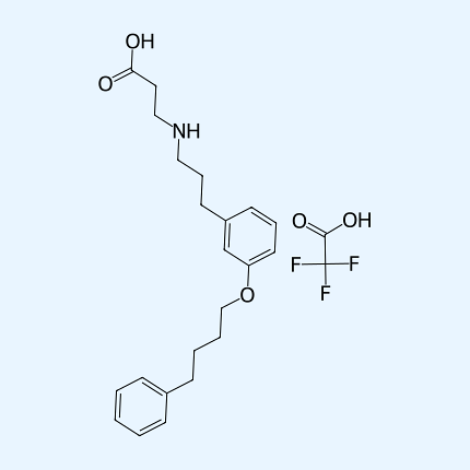 O=C(O)C(F)(F)F.O=C(O)CCNCCCc1cccc(OCCCCc2ccccc2)c1